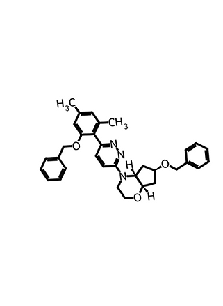 Cc1cc(C)c(-c2ccc(N3CCO[C@H]4C[C@H](OCc5ccccc5)C[C@H]43)nn2)c(OCc2ccccc2)c1